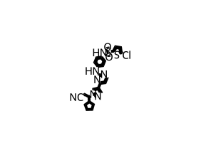 N#CCC(C1CCCC1)n1cc(-c2ccnc(Nc3ccc(NS(=O)(=O)c4ccc(Cl)s4)cc3)n2)cn1